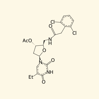 CCc1cn([C@H]2C[C@H](OC(C)=O)[C@@H](CNC(=O)Cc3c(Cl)cccc3Cl)O2)c(=O)[nH]c1=O